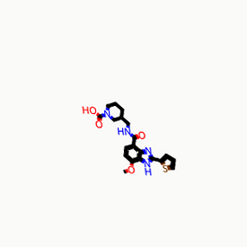 COc1ccc(C(=O)NCC2CCCN(C(=O)O)C2)c2nc(-c3cccs3)[nH]c12